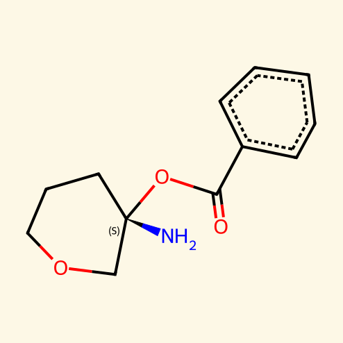 N[C@]1(OC(=O)c2ccccc2)CCCOC1